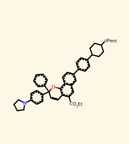 CCCCCC1CCC(c2ccc(-c3ccc4c5c(c(C(=O)OCC)cc4c3)C=CC(c3ccccc3)(c3ccc(N4CCCC4)cc3)O5)cc2)CC1